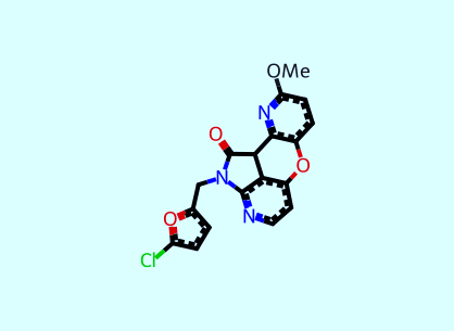 COc1ccc2c(n1)C1C(=O)N(Cc3ccc(Cl)o3)c3nccc(c31)O2